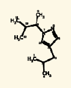 CC(C)Cc1cnn([C@@H](C)C(C)C)c1